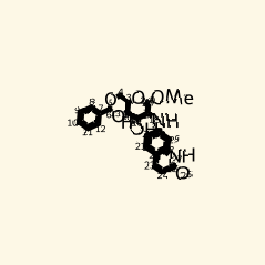 CO[C@H]1OC2COC(c3ccccc3)O[C@H]2[C@H](O)C1Nc1ccc2ccc(=O)[nH]c2c1